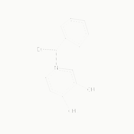 CCC(c1ccccc1)[n+]1ccc(C)c(C)c1